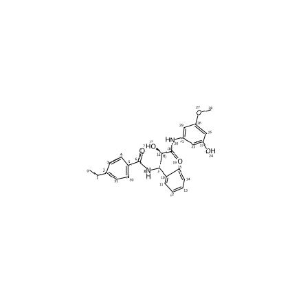 CCc1ccc(C(=O)NC(c2ccccc2)[C@@H](O)C(=O)Nc2cc(O)cc(OC)c2)cc1